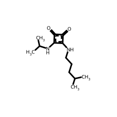 CC(C)CCCNc1c(NC(C)C)c(=O)c1=O